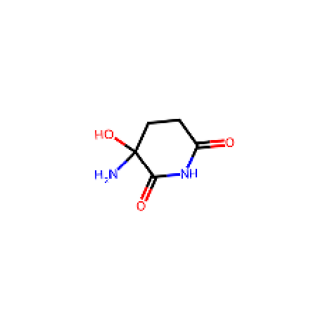 NC1(O)CCC(=O)NC1=O